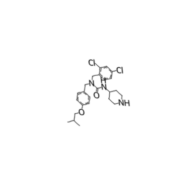 CC(C)COc1ccc(CN(Cc2ccc(Cl)cc2Cl)C(=O)NC2CCNCC2)cc1